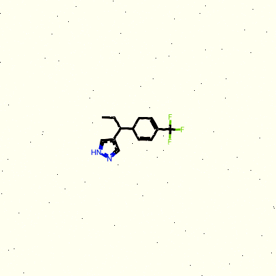 CCC(c1cn[nH]c1)C1C=CC(C(F)(F)F)=CC1